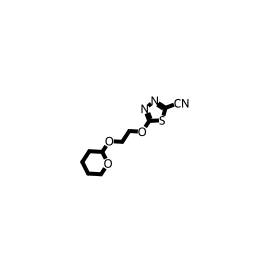 N#Cc1nnc(OCCOC2CCCCO2)s1